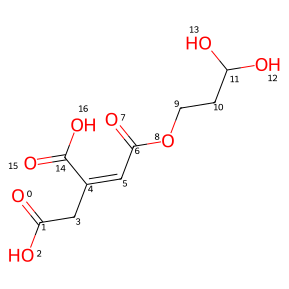 O=C(O)CC(=CC(=O)OCCC(O)O)C(=O)O